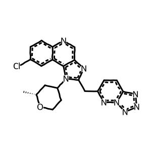 C[C@@H]1CC(n2c(Cc3ccc4nnnn4n3)nc3cnc4ccc(Cl)cc4c32)CCO1